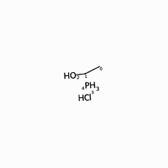 CCO.Cl.P